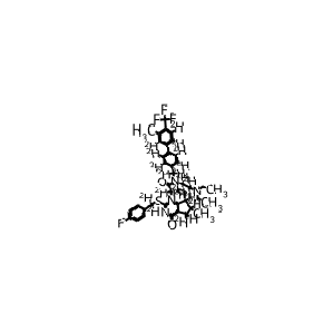 [2H]c1c([2H])c(C([2H])([2H])N(C(=O)C([2H])([2H])n2c(SC([2H])([2H])c3ccc(F)cc3)nc(=O)c3c2C([2H])([2H])C([2H])(C)C3([2H])[2H])C([2H])([2H])C([2H])([2H])N(CC)CC)c([2H])c([2H])c1-c1c([2H])c([2H])c(C(F)(F)F)c(C)c1[2H]